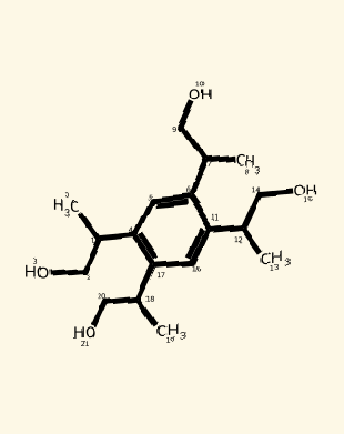 CC(CO)c1cc(C(C)CO)c(C(C)CO)cc1C(C)CO